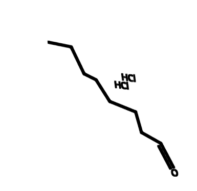 CCCCCCCC=O.Cl.Cl